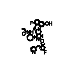 C#Cc1c(F)ccc2cc(O)cc(N3CCc4c(nc(OC[C@]5(C)C[C@@H](F)CN5Cc5cccnc5)nc4N4CCCCC(NC(=O)C=C)C4)C3)c12